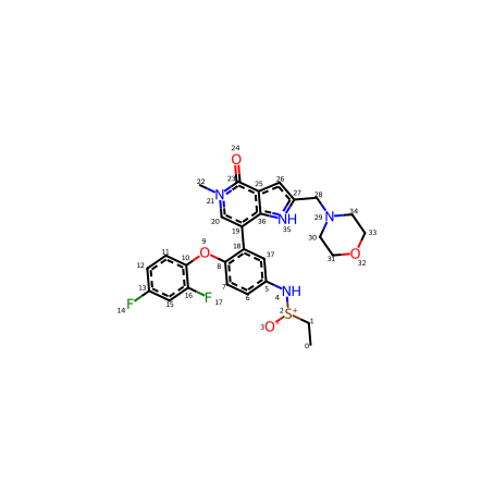 CC[S+]([O-])Nc1ccc(Oc2ccc(F)cc2F)c(-c2cn(C)c(=O)c3cc(CN4CCOCC4)[nH]c23)c1